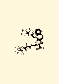 CC(C)(C)OC(=O)CN1C(=O)[C@@H](N[C@@H](CCCCNC(=O)OC(C)(C)C)C(=O)O)CSc2ccccc21